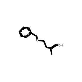 CC(=CO)CCOCc1ccccc1